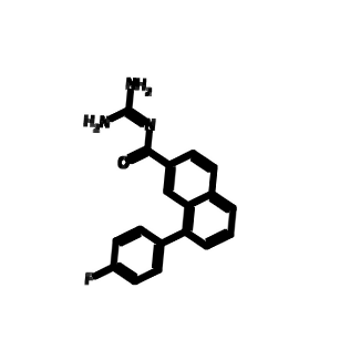 NC(N)=NC(=O)c1ccc2cccc(-c3ccc(F)cc3)c2c1